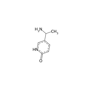 CC(N)c1ccc(=O)[nH]c1